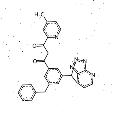 Cc1ccnc(C(=O)CC(=O)c2cc(Cc3ccccc3)cc(C3c4ccnc5nn3nc45)c2)c1